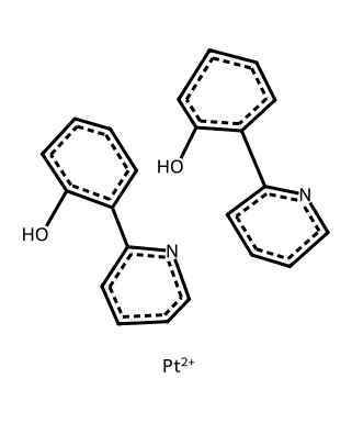 Oc1ccccc1-c1ccccn1.Oc1ccccc1-c1ccccn1.[Pt+2]